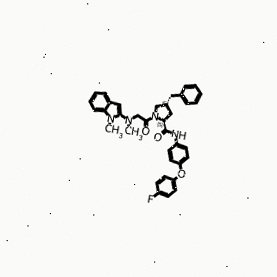 CN(CC(=O)N1C[C@H](Cc2ccccc2)C[C@H]1C(=O)Nc1ccc(Oc2ccc(F)cc2)cc1)c1cc2ccccc2n1C